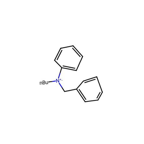 CCCC[N+](Cc1ccccc1)c1ccccc1